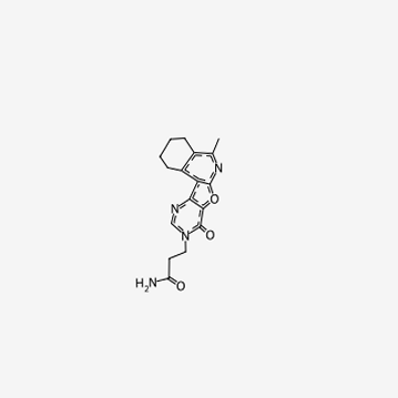 Cc1nc2oc3c(=O)n(CCC(N)=O)cnc3c2c2c1CCCC2